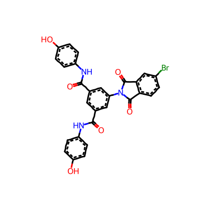 O=C(Nc1ccc(O)cc1)c1cc(C(=O)Nc2ccc(O)cc2)cc(N2C(=O)c3ccc(Br)cc3C2=O)c1